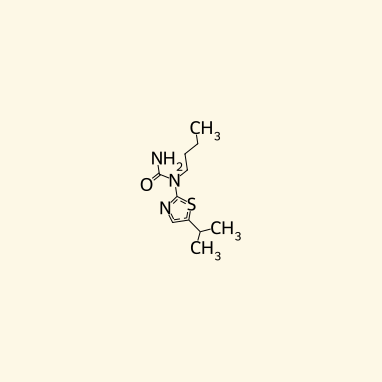 CCCCN(C(N)=O)c1ncc(C(C)C)s1